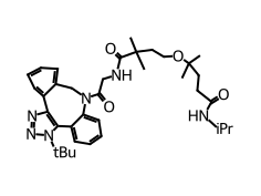 CC(C)NC(=O)CCC(C)(C)OCCC(C)(C)C(=O)NCC(=O)N1Cc2ccccc2-c2nnn(C(C)(C)C)c2-c2ccccc21